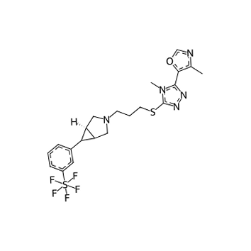 Cc1ncoc1-c1nnc(SCCCN2CC3C(c4cccc(S(F)(F)(F)(F)F)c4)[C@H]3C2)n1C